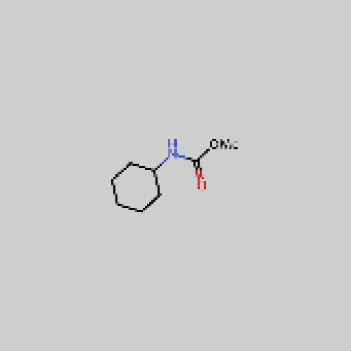 COC(=O)NC1CCCCC1